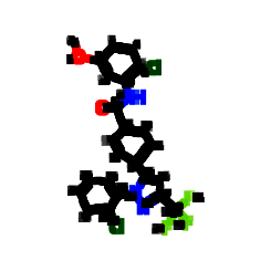 COc1ccc(Cl)c(NC(=O)c2ccc(-c3cc(C(F)(F)F)nn3-c3ccccc3Cl)cc2)c1